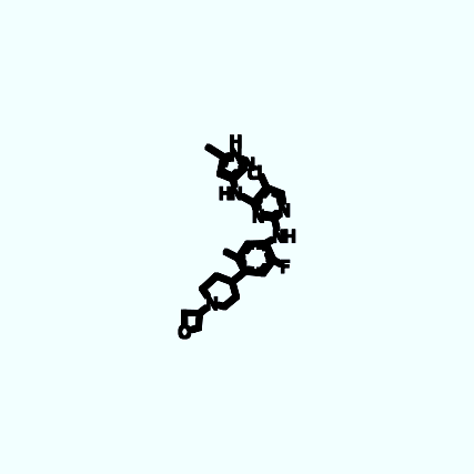 Cc1cc(Nc2nc(Nc3cc(C)c(C4CCN(C5COC5)CC4)cc3F)ncc2Cl)n[nH]1